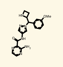 COc1cccc(C(C2CCN2)n2cc(NC(=O)c3nccnc3N)cn2)c1